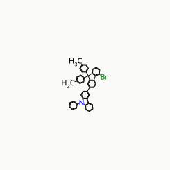 Cc1ccc(C2(c3ccc(C)cc3)c3cc(-c4ccc5c(c4)c4ccccc4n5-c4ccccc4)ccc3-c3c(Br)cccc32)cc1